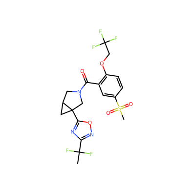 CC(F)(F)c1noc(C23CC2CN(C(=O)c2cc(S(C)(=O)=O)ccc2OCC(F)(F)F)C3)n1